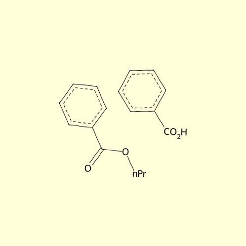 CCCOC(=O)c1ccccc1.O=C(O)c1ccccc1